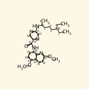 CCN(CC)CCCC(C)Nc1cnc(C(=O)Nc2ccc(OC)c3ccc(OC)nc23)cn1